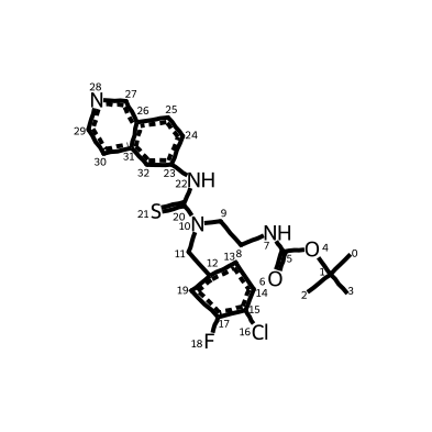 CC(C)(C)OC(=O)NCCN(Cc1ccc(Cl)c(F)c1)C(=S)Nc1ccc2cnccc2c1